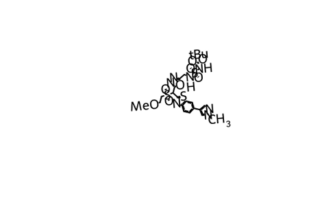 COCCS(=O)(=O)C(c1nnc(CNS(=O)(=O)NC(=O)OC(C)(C)C)o1)c1nc2ccc(-c3cnn(C)c3)cc2s1